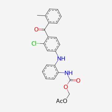 CC(=O)OCOC(=O)Nc1ccccc1Nc1ccc(C(=O)c2ccccc2C)c(Cl)c1